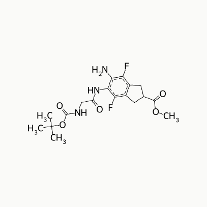 COC(=O)C1Cc2c(F)c(N)c(NC(=O)CNC(=O)OC(C)(C)C)c(F)c2C1